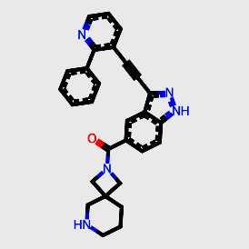 O=C(c1ccc2[nH]nc(C#Cc3cccnc3-c3ccccc3)c2c1)N1CC2(CCCNC2)C1